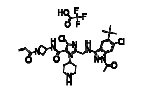 C=CC(=O)N1CC(NC(=O)c2c(Cl)nc(CNc3nn(C(C)=O)c4cc(Cl)c(C(C)(C)C)cc34)n2C2CCNCC2)C1.O=C(O)C(F)(F)F